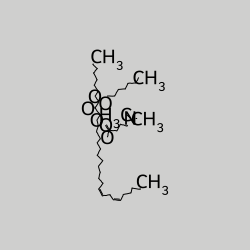 CCCCC/C=C\C/C=C\CCCCCCCCC(CCOCC(=O)C(OCCCCCCC)OCCCCCCC)OC(=O)CCCN(C)C